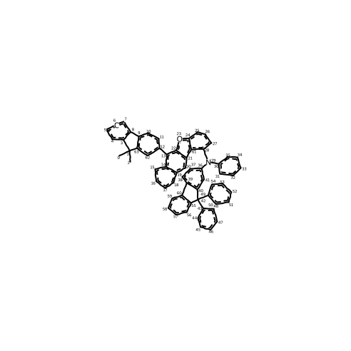 CC1(C)c2ccccc2-c2ccc(-c3c4ccccc4cc4c3oc3cccc(N(c5ccccc5)c5ccc6c(c5)C(c5ccccc5)(c5ccccc5)c5ccccc5-6)c34)cc21